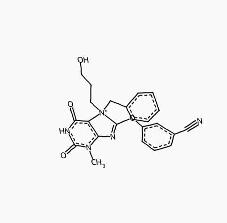 Cn1c2c(c(=O)[nH]c1=O)[N+](CCCO)(Cc1ccccc1)C(Oc1cccc(C#N)c1)=N2